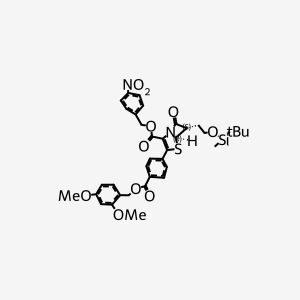 COc1ccc(COC(=O)c2ccc(C3=C(C(=O)OCc4ccc([N+](=O)[O-])cc4)N4C(=O)[C@H](CCO[Si](C)(C)C(C)(C)C)[C@H]4S3)cc2)c(OC)c1